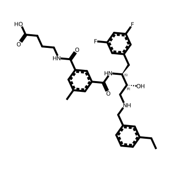 CCc1cccc(CNC[C@@H](O)[C@H](Cc2cc(F)cc(F)c2)NC(=O)c2cc(C)cc(C(=O)NCCCC(=O)O)c2)c1